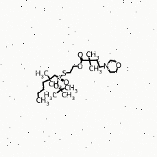 CCCCC(C)(C)CP(=O)(OC(C)(C)C)SCCOC(=O)C(C)(C)CCN1CCOCC1